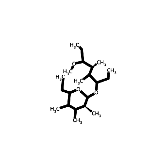 CCC1OC(OC(CC)C(C)[C@H](C)C(CC)OC)[C@@H](C)C(C)C1C